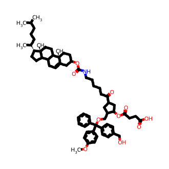 COc1ccc(C(OCC2CC(C(=O)CCCCCNC(=O)OC3CC[C@@]4(C)C(=CCC5C4CC[C@@]4(C)C5CC[C@@H]4C(C)CCCC(C)C)C3)CC2OC(=O)CCC(=O)O)(c2ccccc2)c2ccc(CO)cc2)cc1